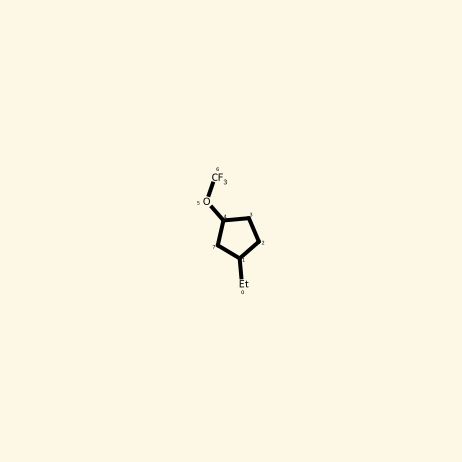 CCC1CCC(OC(F)(F)F)C1